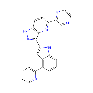 c1ccc(-c2cccc3[nH]c(-c4n[nH]c5ccc(-c6cnccn6)nc45)cc23)nc1